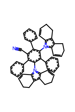 N#Cc1c(-c2ccccc2)c(-n2c3c(c4c2C=CCC4)CCC=C3)c(-c2ccccc2)c(-n2c3c(c4c2C=CCC4)CCC=C3)c1-c1ccccc1